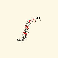 C=CC(=O)OCOc1ccc(C(=O)Oc2ccc(C(=O)Oc3ccc(OC)cc3)cc2)cc1